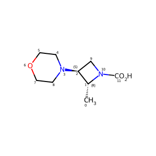 C[C@@H]1[C@@H](N2CCOCC2)CN1C(=O)O